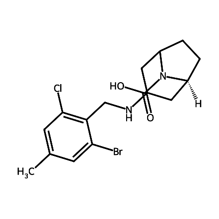 Cc1cc(Cl)c(CNC2CC3CC[C@@H](C2)N3C(=O)O)c(Br)c1